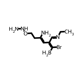 B/C(Br)=C(\C=C(/N)CCONN)/C=N/CC